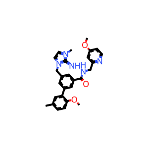 COc1ccnc(CNC(=O)c2cc(Cn3ccn(C)c3=N)cc(-c3cc(C)ccc3OC)c2)c1